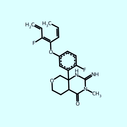 C=C/C(F)=C(\C=C/C)Oc1ccc(F)c(C23COCCC2C(=O)N(C)C(=N)N3)c1